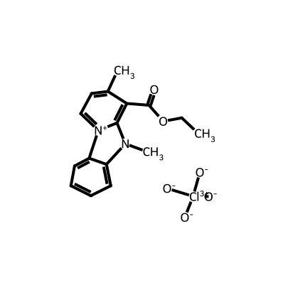 CCOC(=O)c1c(C)cc[n+]2c3ccccc3n(C)c12.[O-][Cl+3]([O-])([O-])[O-]